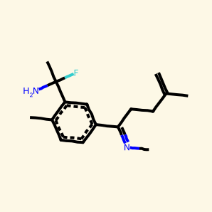 C=C(C)CC/C(=N\C)c1ccc(C)c(C(C)(N)F)c1